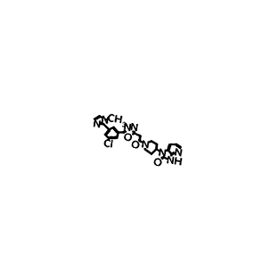 Cn1ccnc1-c1cc(Cl)cc(-c2nnc(CC(=O)N3CCC(n4c(=O)[nH]c5ncccc54)CC3)o2)c1